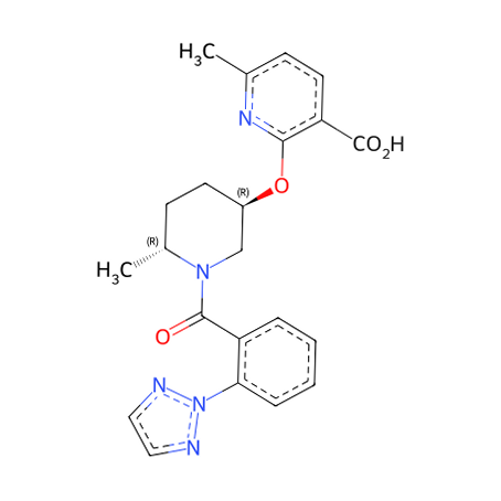 Cc1ccc(C(=O)O)c(O[C@@H]2CC[C@@H](C)N(C(=O)c3ccccc3-n3nccn3)C2)n1